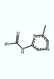 Cc1cncc(NC(=O)C(C)C)n1